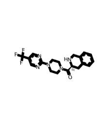 O=C([C@@H]1Cc2ccccc2CN1)N1CCN(c2ncc(C(F)(F)F)cn2)CC1